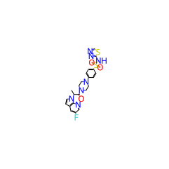 CC(C(=O)N1CCN(c2ccc(S(=O)(=O)Nc3nncs3)cc2)CC1)n1ccc2cc(F)cnc21